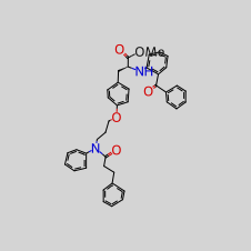 COC(=O)[C@H](Cc1ccc(OCCCN(C(=O)CCc2ccccc2)c2ccccc2)cc1)Nc1ccccc1C(=O)c1ccccc1